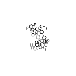 CCS(=O)(=O)c1ccc(-c2ccc(OC)c(CN(C(=O)c3sc4c(F)ccc(F)c4c3Cl)[C@H]3CC[C@H](N(C)C(=O)OC(C)(C)C)CC3)c2)cc1